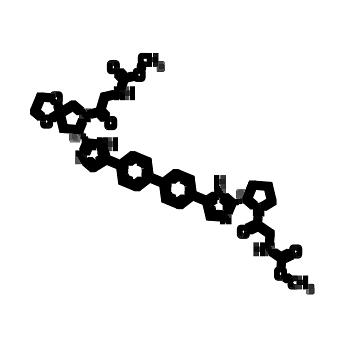 COC(=O)NCC(=O)N1CCC[C@H]1c1ncc(-c2ccc(-c3ccc(-c4cnc([C@@H]5CC6(CN5C(=O)CNC(=O)OC)OCCO6)[nH]4)cc3)cc2)[nH]1